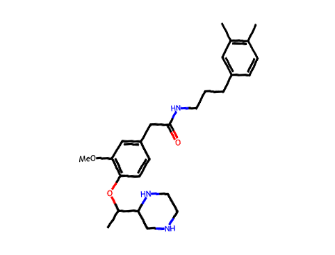 COc1cc(CC(=O)NCCCc2ccc(C)c(C)c2)ccc1OC(C)C1CNCCN1